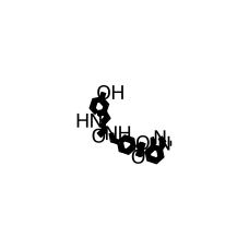 Cn1ncc2c(S(=O)(=O)c3ccc(CNC(=O)c4cc5cc(O)ccc5[nH]4)cc3)cccc21